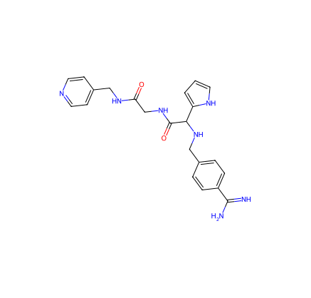 N=C(N)c1ccc(CNC(C(=O)NCC(=O)NCc2ccncc2)c2ccc[nH]2)cc1